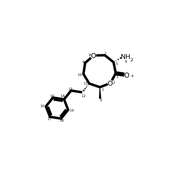 C[C@@H]1OC(=O)[C@@H](N)COCC[C@H]1CCc1ccccc1